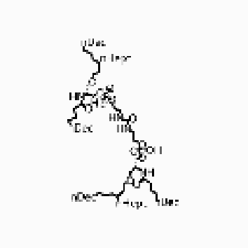 CCCCCCCCCCCCCC(=O)N[C@H](COCC[C@H](CCCCCCC)CCCCCCCCCCCCC)COP(=O)(O)OCCNC(=O)NCCOP(=O)(O)OC[C@@H](COCC[C@H](CCCCCCC)CCCCCCCCCCCCC)NC(=O)CCCCCCCCCCCCC